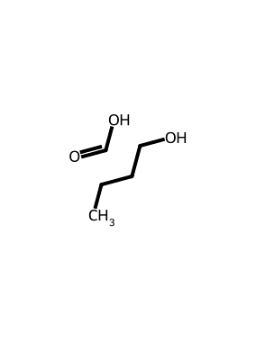 CCCCO.O=CO